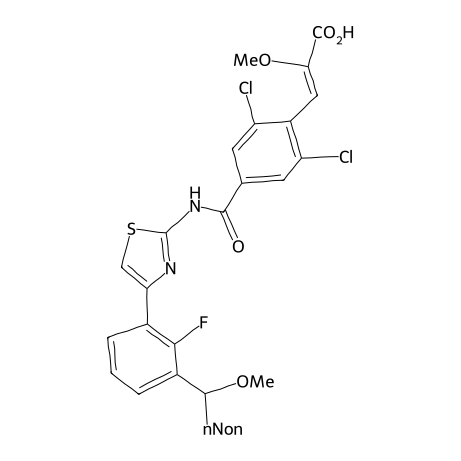 CCCCCCCCCC(OC)c1cccc(-c2csc(NC(=O)c3cc(Cl)c(/C=C(\OC)C(=O)O)c(Cl)c3)n2)c1F